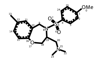 COc1ccc(S(=O)(=O)N2Cc3cc(C)ccc3OCC2CN(C)C)cc1